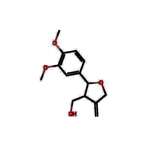 C=C1COC(c2ccc(OC)c(OC)c2)C1CO